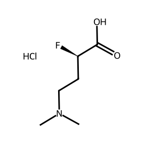 CN(C)CC[C@@H](F)C(=O)O.Cl